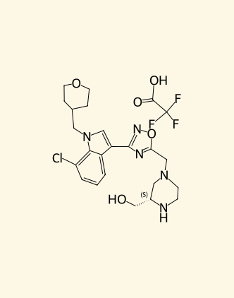 O=C(O)C(F)(F)F.OC[C@@H]1CN(Cc2nc(-c3cn(CC4CCOCC4)c4c(Cl)cccc34)no2)CCN1